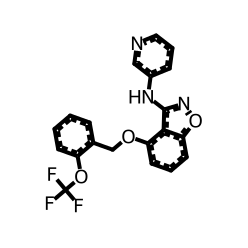 FC(F)(F)Oc1ccccc1COc1cccc2onc(Nc3cccnc3)c12